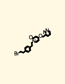 O=c1cc(OCc2cccnn2)ccn1CCc1ccc(CCBr)cc1